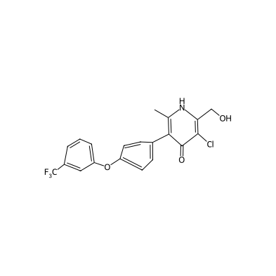 Cc1[nH]c(CO)c(Cl)c(=O)c1-c1ccc(Oc2cccc(C(F)(F)F)c2)cc1